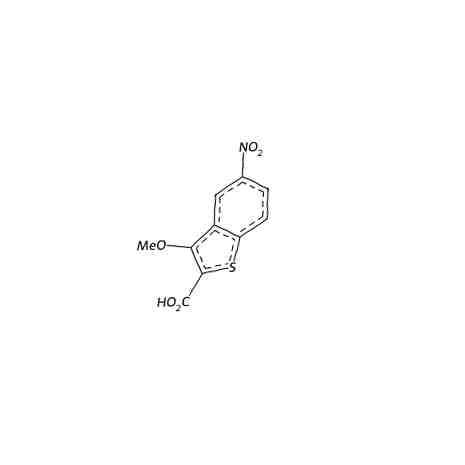 COc1c(C(=O)O)sc2ccc([N+](=O)[O-])cc12